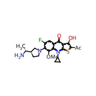 COc1c(N2CC[C@@H]([C@@H](C)N)C2)c(F)cc2c(=O)c3c(O)c(C(C)=O)sc3n(C3CC3)c12